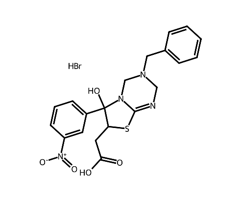 Br.O=C(O)CC1SC2=NCN(Cc3ccccc3)CN2C1(O)c1cccc([N+](=O)[O-])c1